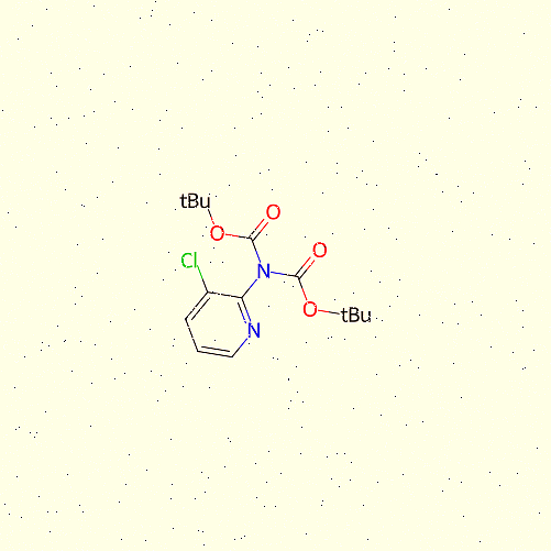 CC(C)(C)OC(=O)N(C(=O)OC(C)(C)C)c1ncccc1Cl